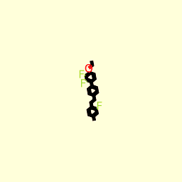 CCOc1ccc(-c2ccc(CCc3ccc(C)cc3F)cc2)c(F)c1F